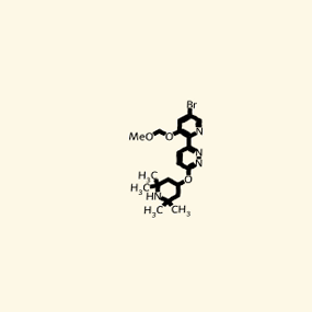 COCOc1cc(Br)cnc1-c1ccc(OC2CC(C)(C)NC(C)(C)C2)nn1